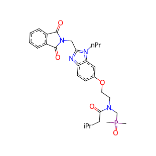 CCCn1c(CN2C(=O)c3ccccc3C2=O)nc2ccc(OCCN(CP(C)(C)=O)C(=O)CC(C)C)cc21